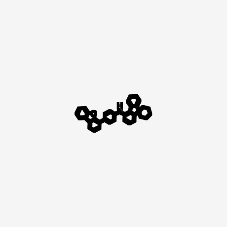 c1ccc2c(c1)-c1c(Nc3ccc(-c4cccc5c4oc4ccccc45)cc3)cccc1C21CCCCC1